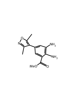 COC(=O)c1cc(-c2c(C)noc2C)cc(N)c1N